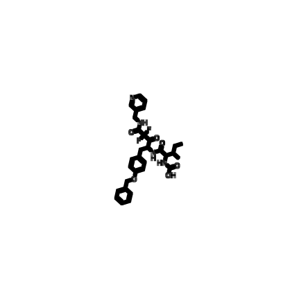 CCC(C)C(NC(=O)O)C(=O)NC(Cc1ccc(OCc2ccccc2)cc1)C(=O)C(F)(F)C(=O)NCc1cccnc1